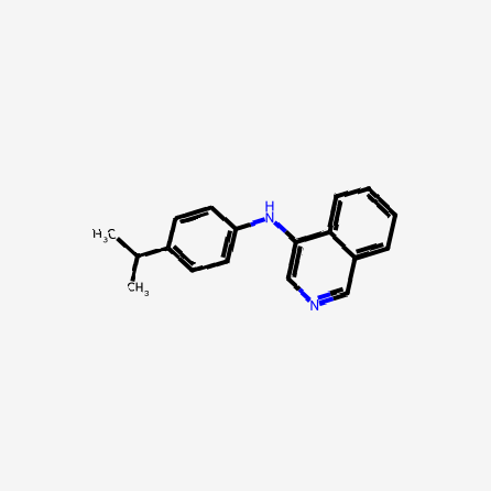 CC(C)c1ccc(Nc2cncc3ccccc23)cc1